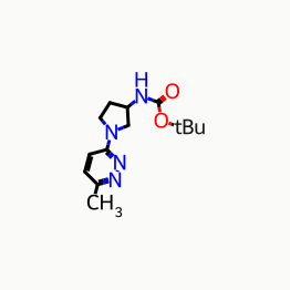 Cc1ccc(N2CCC(NC(=O)OC(C)(C)C)C2)nn1